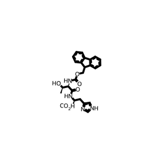 C[C@@H](O)[C@H](NC(=O)OCC1c2ccccc2-c2ccccc21)C(=O)N[C@@H](Cc1c[nH]cn1)C(=O)O